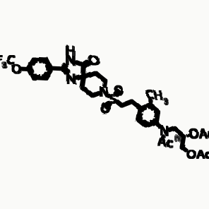 CC(=O)OC[C@H](CN(C(C)=O)c1ccc(CCS(=O)(=O)N2CCC3(CC2)N=C(c2ccc(OC(F)(F)F)cc2)NC3=O)c(C)c1)OC(C)=O